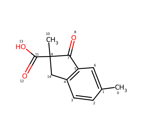 Cc1ccc2c(c1)C(=O)C(C)(C(=O)O)C2